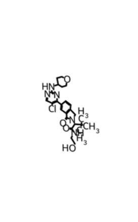 CC(C)(C)C(C(=O)NCCO)N1Cc2ccc(-c3nc(NC4CCOCC4)ncc3Cl)cc2C1=O